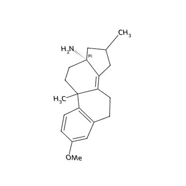 COc1ccc2c(c1)CCC1=C3CC(C)C[C@]3(N)CCC12C